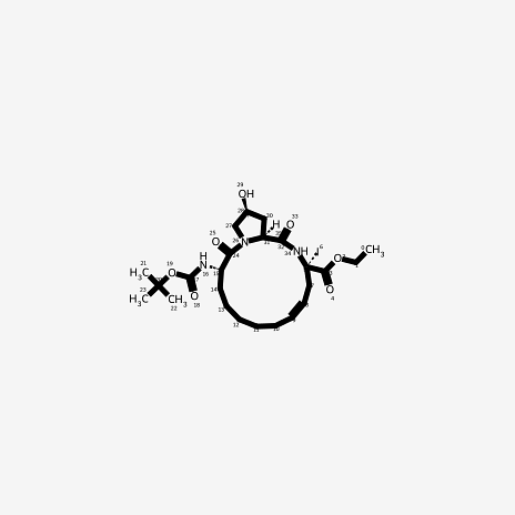 CCOC(=O)[C@@]1(I)C/C=C\CCCCC[C@H](NC(=O)OC(C)(C)C)C(=O)N2C[C@@H](O)C[C@H]2C(=O)N1